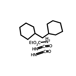 C1CCC(CC2CCCCC2)CC1.CCOC(N)=O.N=C=O.N=C=O